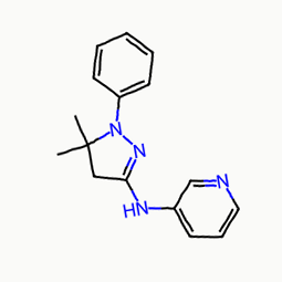 CC1(C)CC(Nc2cccnc2)=NN1c1ccccc1